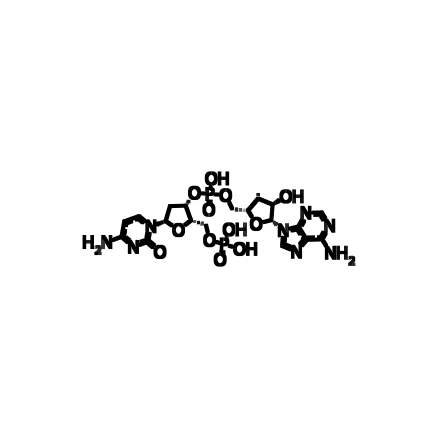 Nc1ccn([C@H]2C[C@H](OP(=O)(O)OC[C@@H]3[CH][C@@H](O)[C@H](n4cnc5c(N)ncnc54)O3)[C@H](COP(=O)(O)O)O2)c(=O)n1